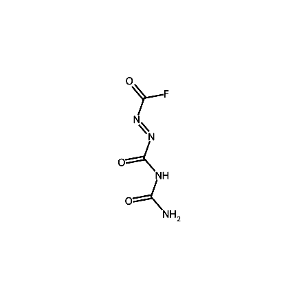 NC(=O)NC(=O)N=NC(=O)F